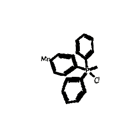 CP(Cl)(c1ccccc1)(c1ccccc1)c1ccccc1.[Mn]